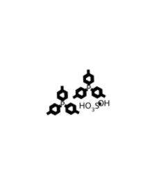 Cc1ccc(P(c2ccc(C)cc2)c2ccc(C)cc2)cc1.Cc1ccc(P(c2ccc(C)cc2)c2ccc(C)cc2)cc1.O=S(=O)(O)O